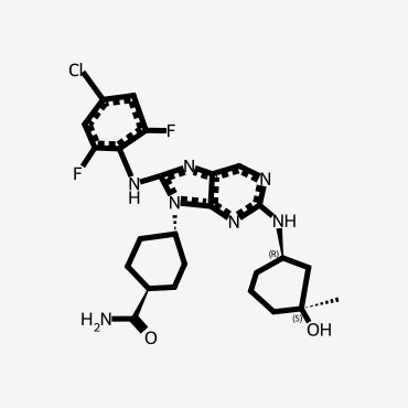 C[C@]1(O)CCC[C@@H](Nc2ncc3nc(Nc4c(F)cc(Cl)cc4F)n([C@H]4CC[C@H](C(N)=O)CC4)c3n2)C1